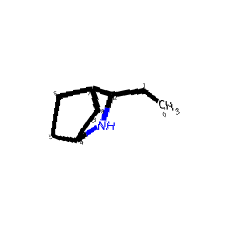 CCC1NC2CCC1C2